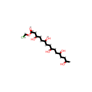 CC(O)CCC(O)CCC(O)CCC(O)CCC(O)CC(=O)OCCl